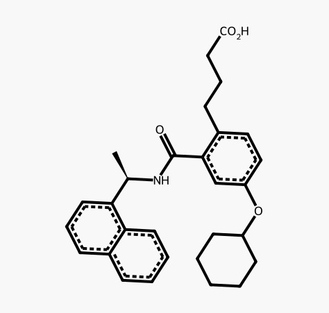 C[C@@H](NC(=O)c1cc(OC2CCCCC2)ccc1CCCC(=O)O)c1cccc2ccccc12